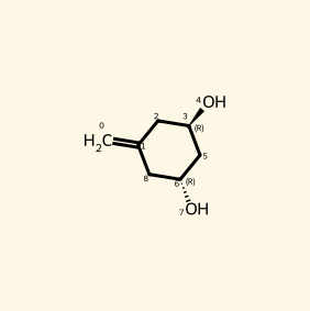 C=C1C[C@@H](O)C[C@H](O)C1